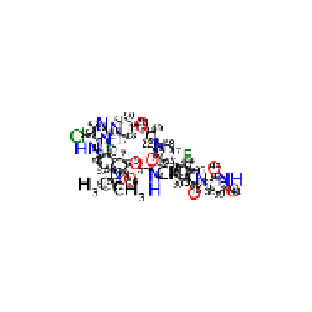 CNC(=O)COc1cc2c(F)c(Nc3nc(N4CCC(O[C@H]5C[C@H](N6CCC(c7ccc8c(c7F)CN(C7CCC(=O)NC7=O)C8=O)CC6)C5)CC4)ncc3Cl)ccc2n(C(C)C)c1=O